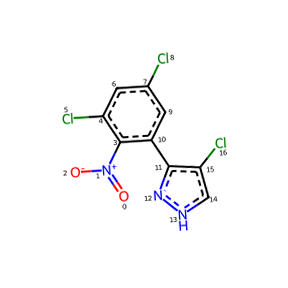 O=[N+]([O-])c1c(Cl)cc(Cl)cc1-c1n[nH]cc1Cl